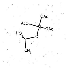 CC(=O)O[Si](OC(C)=O)(OC(C)=O)OC(C)O